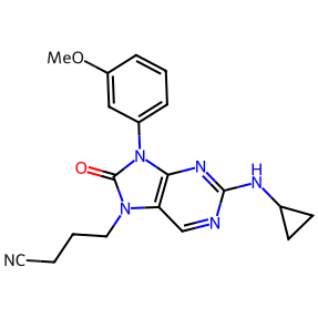 COc1cccc(-n2c(=O)n(CCCC#N)c3cnc(NC4CC4)nc32)c1